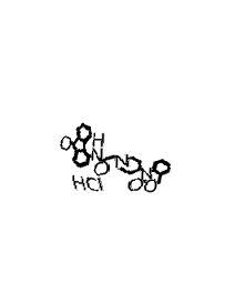 Cl.O=C(CN1CCC(N2C(=O)OCc3ccccc32)CC1)Nc1cccc2c1-c1ccccc1C2=O